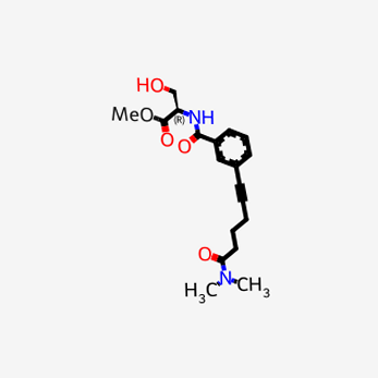 COC(=O)[C@@H](CO)NC(=O)c1cccc(C#CCCCC(=O)N(C)C)c1